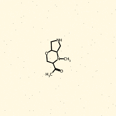 CC(=O)C1COC2CNCC2N1C